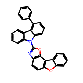 c1ccc(-c2cccc3c2c2ccccc2n3-c2nc3ccc4oc5ccccc5c4c3o2)cc1